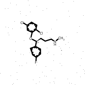 CNCCC[C@H](Oc1cc(Cl)ccc1Cl)c1ccc(F)cc1